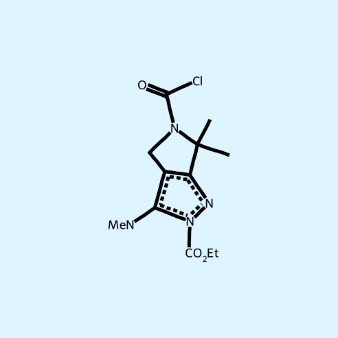 CCOC(=O)n1nc2c(c1NC)CN(C(=O)Cl)C2(C)C